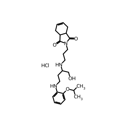 CC(C)Oc1ccccc1NCCC(CO)NCCCN1C(=O)C2CC=CCC2C1=O.Cl